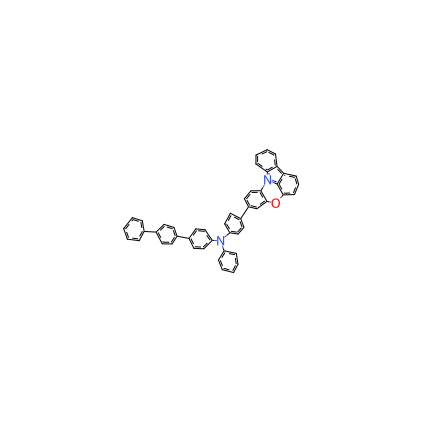 c1ccc(-c2ccc(-c3ccc(N(c4ccccc4)c4ccc(-c5ccc6c(c5)Oc5cccc7c8ccccc8n-6c57)cc4)cc3)cc2)cc1